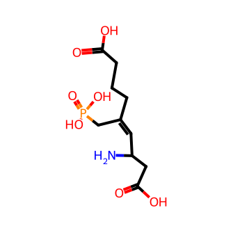 NC(C=C(CCCC(=O)O)CP(=O)(O)O)CC(=O)O